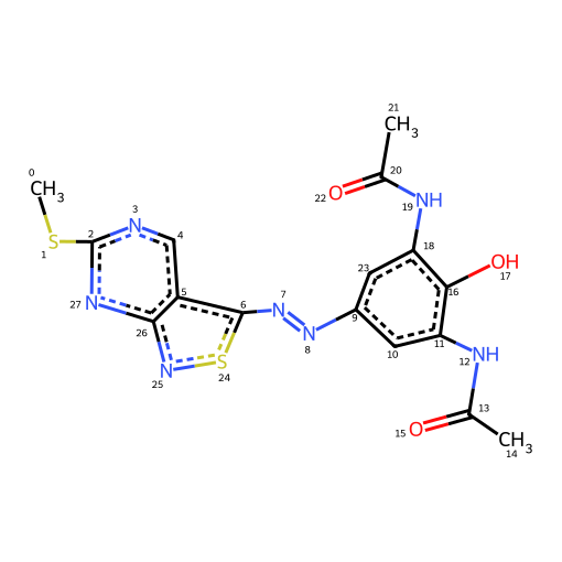 CSc1ncc2c(/N=N/c3cc(NC(C)=O)c(O)c(NC(C)=O)c3)snc2n1